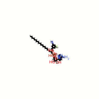 CCCCCCCCCCCCCCCCCOC[C@H](COP(=O)(O)OC[C@@]1(C)O[C@@H](c2ccc3c(N)ncnn23)[C@H](O)[C@@H]1O)OCc1cc(F)cc(C#N)c1